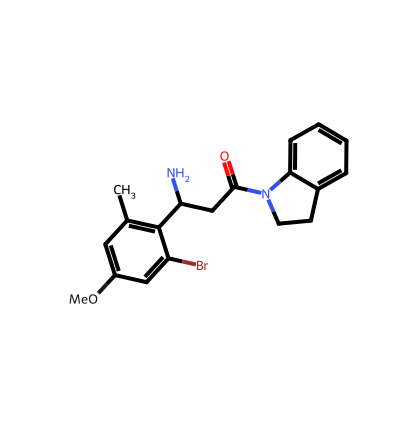 COc1cc(C)c(C(N)CC(=O)N2CCc3ccccc32)c(Br)c1